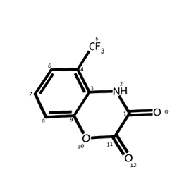 O=c1[nH]c2c(C(F)(F)F)cccc2oc1=O